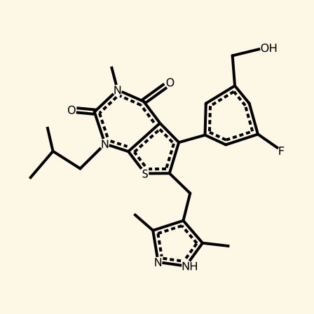 Cc1n[nH]c(C)c1Cc1sc2c(c1-c1cc(F)cc(CO)c1)c(=O)n(C)c(=O)n2CC(C)C